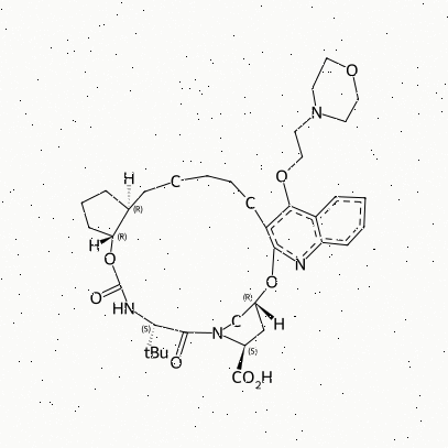 CC(C)(C)[C@@H]1NC(=O)O[C@@H]2CCC[C@H]2CCCCCc2c(nc3ccccc3c2OCCN2CCOCC2)O[C@@H]2C[C@@H](C(=O)O)N(C2)C1=O